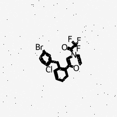 O=C(N1C=COC(C2=C(Cc3cc(Br)ccc3Cl)C=CCC2)=C1)C(F)(F)F